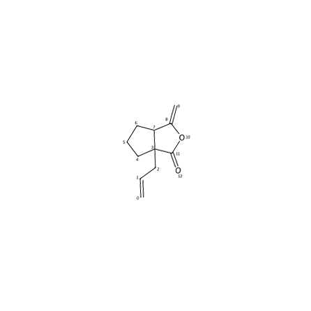 C=CCC12CCCC1C(=C)OC2=O